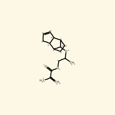 C=C(C)C(=O)OCC(C)OC1C2CCC1C1CC=CC12